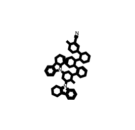 CC1CCC(C2CCCCC2C2CC=CCC2C2=C(C3CC(N4c5ccccc5C5CCC=CC54)CC(n4c5c(c6ccccc64)CCCC5)C3C)CCC=C2)C=C1C#N